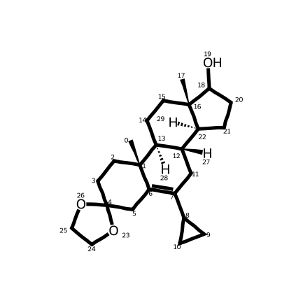 C[C@]12CCC3(CC1=C(C1CC1)C[C@@H]1[C@@H]2CC[C@]2(C)C(O)CC[C@@H]12)OCCO3